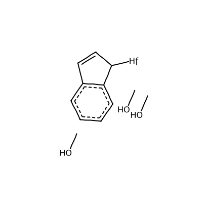 CO.CO.CO.[Hf][CH]1C=Cc2ccccc21